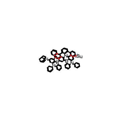 CC(C)(C)c1cc2c3c(c1)N(c1c(-c4ccccc4)cccc1-c1ccccc1)c1cc4c(cc1B3c1ccccc1N2c1ccccc1)B1c2ccccc2N(c2ccccc2)c2cc(N3C5CC6CC(C5)CC3C6)cc(c21)N4c1ccccc1